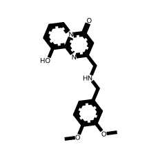 COc1ccc(CNCc2cc(=O)n3cccc(O)c3n2)cc1OC